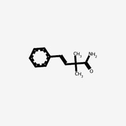 CC(C)(C=Cc1ccccc1)C(N)=O